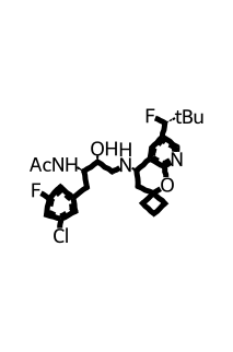 CC(=O)N[C@@H](Cc1cc(F)cc(Cl)c1)[C@H](O)CN[C@H]1CC2(CCC2)Oc2ncc([C@H](F)C(C)(C)C)cc21